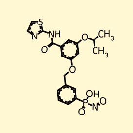 CC(C)Oc1cc(OCc2cccc(P(=O)(O)N=O)c2)cc(C(=O)Nc2nccs2)c1